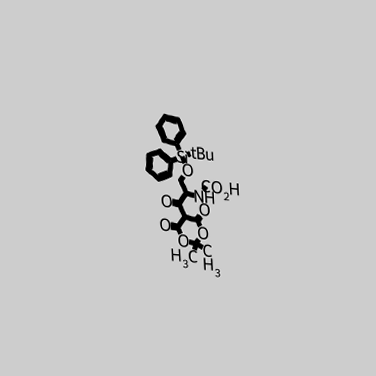 CC1(C)OC(=O)C(C(=O)C(CO[Si](c2ccccc2)(c2ccccc2)C(C)(C)C)NC(=O)O)C(=O)O1